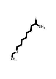 CCOCCCCCCCC(=O)[SiH3]